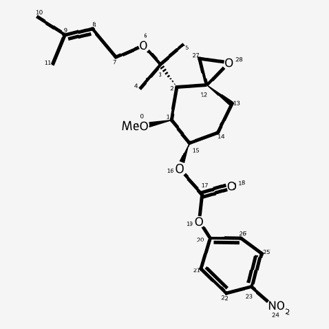 CO[C@H]1[C@H](C(C)(C)OCC=C(C)C)[C@]2(CC[C@H]1OC(=O)Oc1ccc([N+](=O)[O-])cc1)CO2